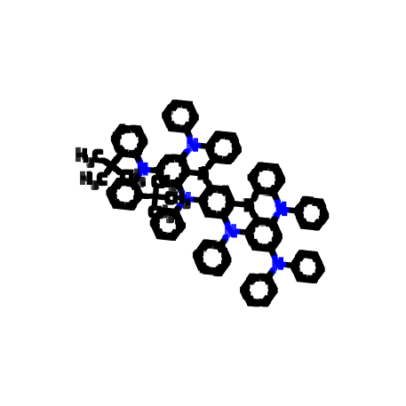 CC(C)(C)c1ccccc1N(c1cc2c3c(c1)N(c1ccccc1)c1cc4c(cc1B3c1ccccc1N2c1ccccc1)B1c2ccccc2N(c2ccccc2)c2cc(N(c3ccccc3)c3ccccc3)cc(c21)N4c1ccccc1)c1ccccc1C(C)(C)C